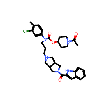 CC(=O)N1CCC(OC(=O)N(CCCN2CC3CN(C(=O)c4cc5ccccc5[nH]4)CC3C2)c2ccc(C)c(Cl)c2)CC1